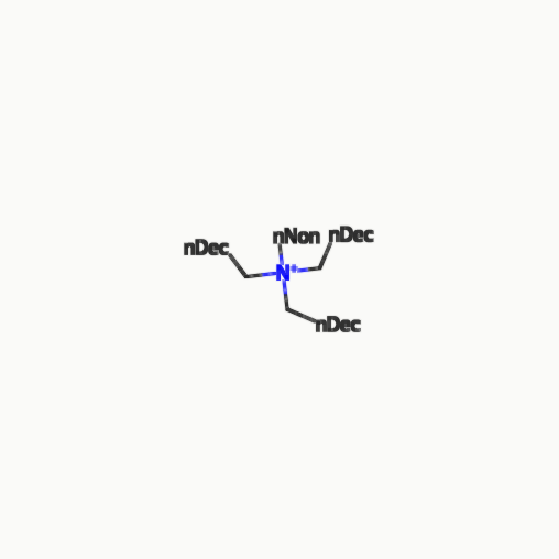 CCCCCCCCCCC[N+](CCCCCCCCC)(CCCCCCCCCCC)CCCCCCCCCCC